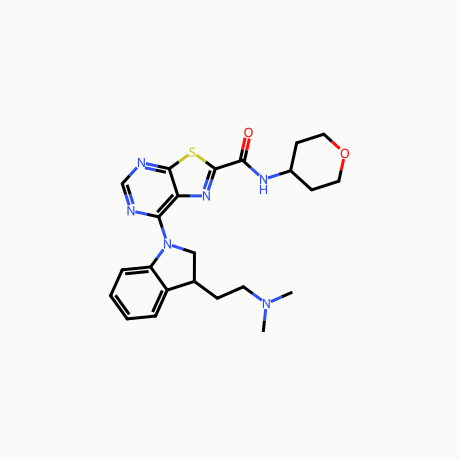 CN(C)CCC1CN(c2ncnc3sc(C(=O)NC4CCOCC4)nc23)c2ccccc21